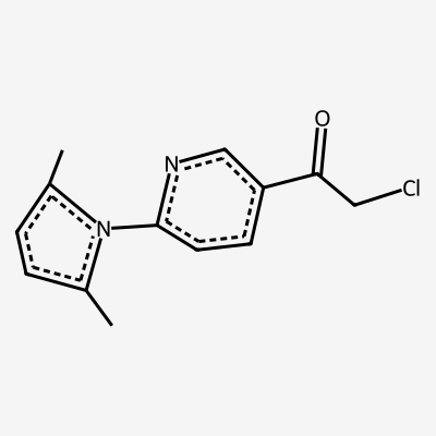 Cc1ccc(C)n1-c1ccc(C(=O)CCl)cn1